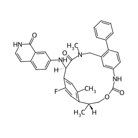 Cc1cc2c(F)cc1[C@@H](C)COC(=O)Nc1ccc(-c3ccccc3)c(c1)CN(C)C(=O)[C@@H]2Nc1ccc2cc[nH]c(=O)c2c1